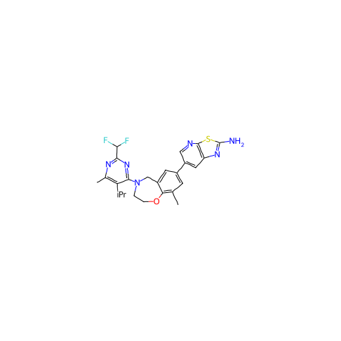 Cc1cc(-c2cnc3sc(N)nc3c2)cc2c1OCCN(c1nc(C(F)F)nc(C)c1C(C)C)C2